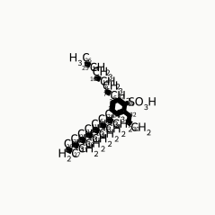 C=CC.C=CC.C=CC.C=CC.C=CC.C=CC.C=CC.C=CC.C=CC.C=CC.C=CCc1ccccc1S(=O)(=O)O